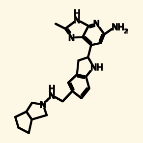 Cc1nc2c(C3Cc4cc(CNN5CC6CCCC6C5)ccc4N3)cc(N)nc2[nH]1